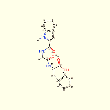 CC(NC(=O)c1cc2ccccc2n1C)C(=O)NC(Cc1ccccc1)C(=O)O